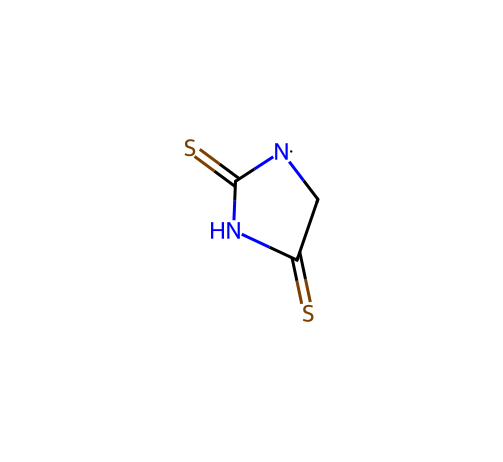 S=C1C[N]C(=S)N1